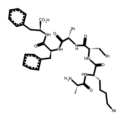 CC(C)C[C@H](NC(=O)[C@H](CCCCN)NC(=O)[C@H](C)N)C(=O)N[C@H](C(=O)N[C@@H](Cc1ccccc1)C(=O)N[C@@H](Cc1ccccc1)C(=O)O)C(C)C